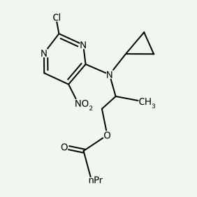 CCCC(=O)OCC(C)N(c1nc(Cl)ncc1[N+](=O)[O-])C1CC1